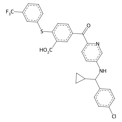 O=C(c1ccc(Sc2cccc(C(F)(F)F)c2)c(C(=O)O)c1)c1ccc(NC(c2ccc(Cl)cc2)C2CC2)cn1